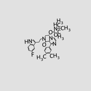 Cc1ccc(-c2nccnc2C(=O)N(CCOC(=O)NC(C)(C)C)CCc2c[nH]c3ccc(F)cc23)cc1C